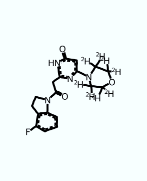 [2H]C1([2H])OC([2H])([2H])C([2H])([2H])N(c2cc(=O)[nH]c(CC(=O)N3CCc4c(F)cccc43)n2)C1([2H])[2H]